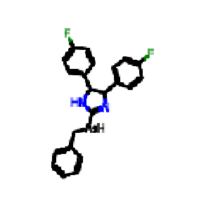 Fc1ccc(C2N=C([AsH]Cc3ccccc3)NC2c2ccc(F)cc2)cc1